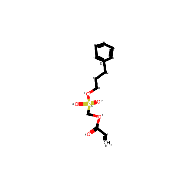 C=CC(=O)OCS(=O)(=O)OCCCc1ccccc1